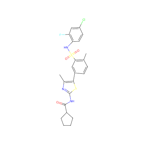 Cc1ccc(-c2sc(NC(=O)C3CCCC3)nc2C)cc1S(=O)(=O)Nc1ccc(Cl)cc1F